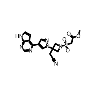 COC(=O)CS(=O)(=O)N1CC(CC#N)(n2cc(-c3ncnc4[nH]ccc34)cn2)C1